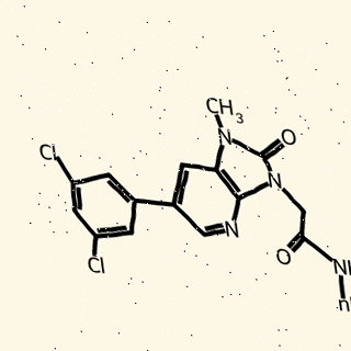 CCCCNC(=O)Cn1c(=O)n(C)c2cc(-c3cc(Cl)cc(Cl)c3)cnc21